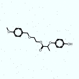 COc1ccc(COCCOC(=O)C(C)Oc2ccc(O)cc2)cc1